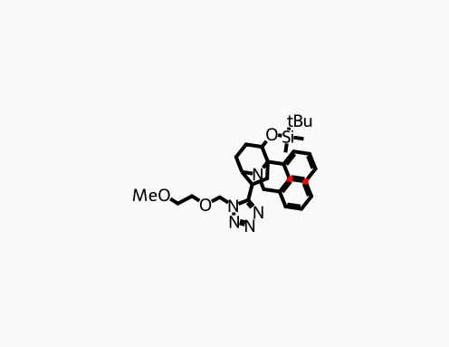 COCCOCn1nnnc1C1CC2(c3ccccc3)C(O[Si](C)(C)C(C)(C)C)CCC1N2Cc1ccccc1